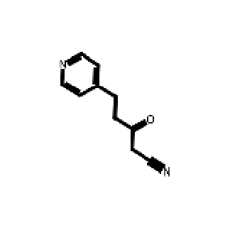 N#CCC(=O)CCc1ccncc1